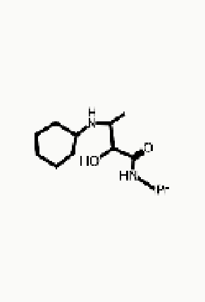 CC(C)NC(=O)C(O)C(C)NC1CCCCC1